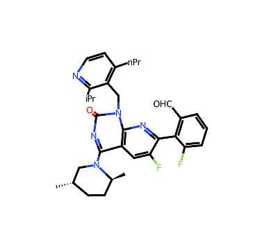 CCCc1ccnc(C(C)C)c1Cn1c(=O)nc(N2C[C@@H](C)CC[C@@H]2C)c2cc(F)c(-c3c(F)cccc3C=O)nc21